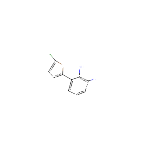 Nc1cccc(-c2ccc(Cl)s2)c1N